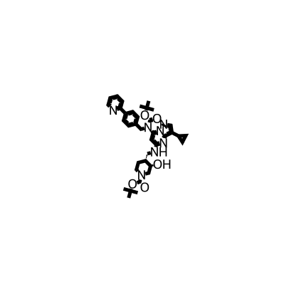 CC(C)(C)OC(=O)N1CC[C@H](CNc2cc(N(Cc3ccc(-c4ccccn4)cc3)C(=O)OC(C)(C)C)n3ncc(C4CC4)c3n2)[C@@H](O)C1